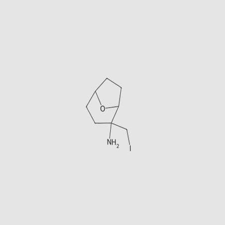 NC1(CI)CCC2CCC1O2